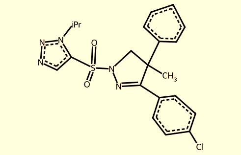 CC(C)n1nncc1S(=O)(=O)N1CC(C)(c2ccccc2)C(c2ccc(Cl)cc2)=N1